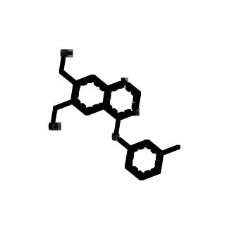 Cc1cccc(Oc2ncnc3cc(CO)c(CO)cc23)c1